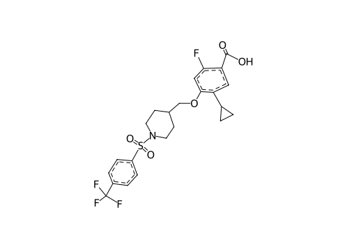 O=C(O)c1cc(C2CC2)c(OCC2CCN(S(=O)(=O)c3ccc(C(F)(F)F)cc3)CC2)cc1F